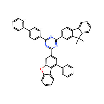 CC1(C)c2ccccc2-c2ccc(-c3nc(-c4ccc(-c5ccccc5)cc4)nc(-c4cc(-c5ccccc5)c5c(c4)oc4ccccc45)n3)cc21